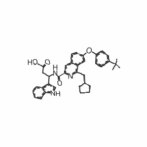 CC(C)(C)c1ccc(Oc2ccc3cc(C(=O)NC(CC(=O)O)c4c[nH]c5ccccc45)nc(CC4CCCC4)c3c2)cc1